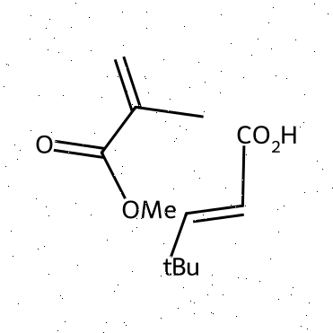 C=C(C)C(=O)OC.CC(C)(C)C=CC(=O)O